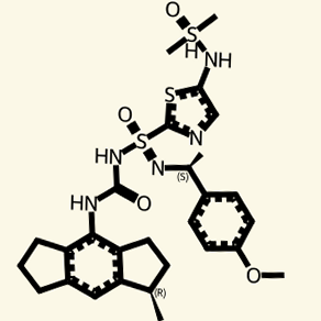 COc1ccc([C@H](C)N=S(=O)(NC(=O)Nc2c3c(cc4c2CC[C@H]4C)CCC3)c2ncc(N[SH](C)(C)=O)s2)cc1